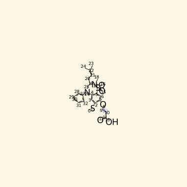 CSc1cc2c(cc1O/C=C/C(=O)O)S(=O)(=O)N(C)C(CC=C(C)C)CN2c1ccccc1